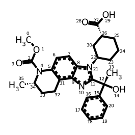 COC(=O)N1c2ccc3c(nc([C@](C)(O)c4ccccc4)n3[C@@H]3CCC[C@@H](C(=O)O)C3)c2CC[C@@H]1C